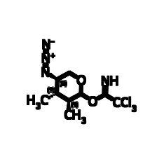 C[C@@H]1[C@@H](N=[N+]=[N-])COC(OC(=N)C(Cl)(Cl)Cl)[C@H]1C